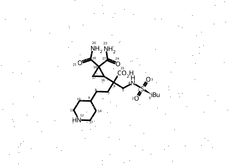 CC[C@H](C)S(=O)(=O)NCC(CCC1CCNCC1)(C(=O)O)C1CC1(C(N)=O)C(N)=O